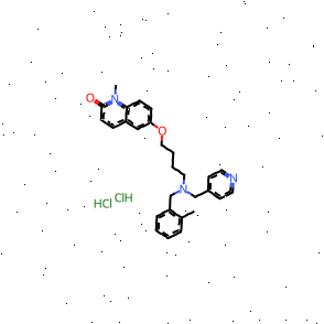 Cc1ccccc1CN(CCCCOc1ccc2c(ccc(=O)n2C)c1)Cc1ccncc1.Cl.Cl